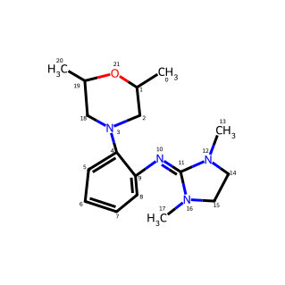 CC1CN(c2ccccc2N=C2N(C)CCN2C)CC(C)O1